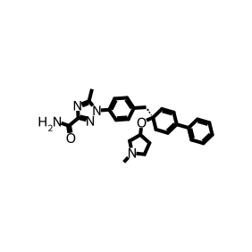 Cc1nc(C(N)=O)nn1-c1ccc(C[C@]2(OC3CCN(C)C3)C=CC(c3ccccc3)=CC2)cc1